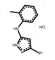 Cc1ccccc1Nc1cc(C(C)C)n[nH]1.Cl